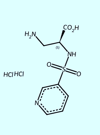 Cl.Cl.NC[C@H](NS(=O)(=O)c1cccnc1)C(=O)O